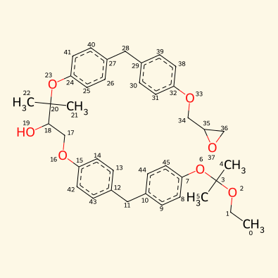 CCOC(C)(C)Oc1ccc(Cc2ccc(OCC(O)C(C)(C)Oc3ccc(Cc4ccc(OCC5CO5)cc4)cc3)cc2)cc1